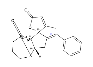 CC1=CC(=O)O[C@@]12/C(=C/c1ccccc1)C[C@@H]1CCCCN3C(=O)CC[C@@]132